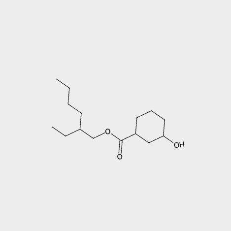 CCCCC(CC)COC(=O)C1CCCC(O)C1